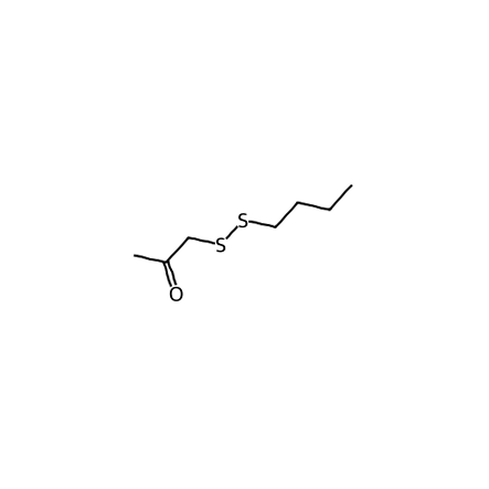 CCCCSSCC(C)=O